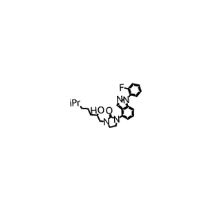 CC(C)CCCC(O)CN1CCN(c2cccc3c2cnn3-c2ccccc2F)C1=O